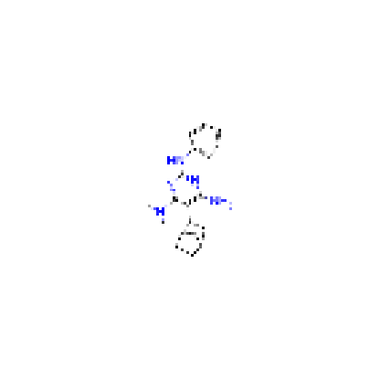 CN(C)c1nc(Nc2ccccc2)nc(N)c1C1CC2CCC1C2